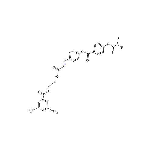 Nc1cc(N)cc(C(=O)OCCCOC(=O)/C=C/c2ccc(OC(=O)c3ccc(OC(F)C(F)F)cc3)cc2)c1